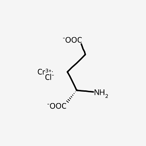 N[C@@H](CCC(=O)[O-])C(=O)[O-].[Cl-].[Cr+3]